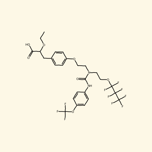 CCOC(Cc1ccc(OCCN(CCOC(F)(F)C(F)(F)C(F)(F)F)C(=O)Nc2ccc(OC(F)(F)F)cc2)cc1)C(=O)O